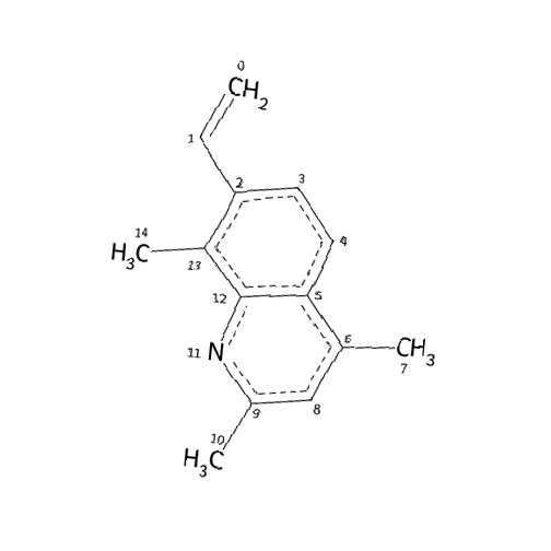 C=Cc1ccc2c(C)cc(C)nc2c1C